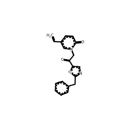 C=Cc1ccc(=O)n(CC(=O)c2cnc(Cc3ccccc3)o2)c1